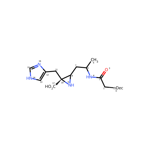 CCCCCCCCCCCC(=O)NC(C)CC1N[C@@]1(Cc1c[nH]cn1)C(=O)O